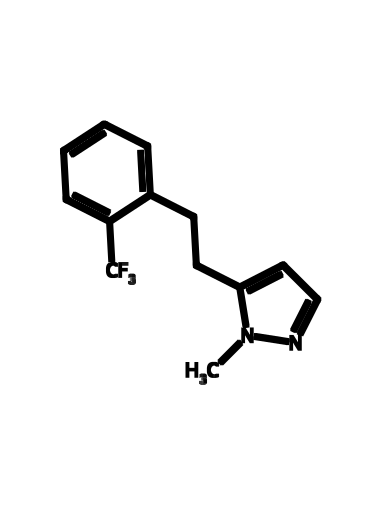 Cn1nccc1CCc1ccccc1C(F)(F)F